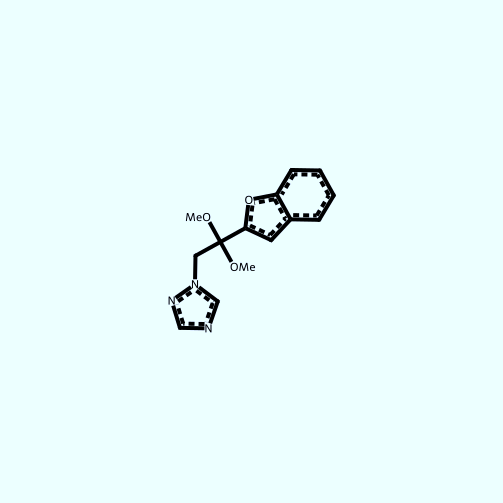 COC(Cn1cncn1)(OC)c1cc2ccccc2o1